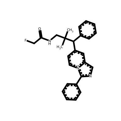 CC(C)(CNC(=O)CF)C(c1ccccc1)c1ccn2c(-c3ccccc3)ncc2c1